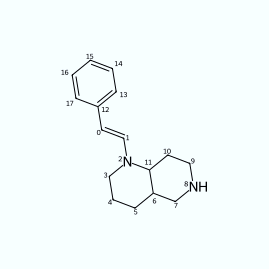 C(=CN1CCCC2CNCCC21)c1ccccc1